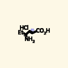 CC[C@H](N)/C=C/C(=O)O.Cl